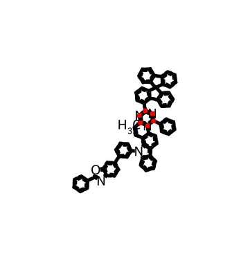 Cc1ccccc1-c1ccc2c3ccccc3n(-c3cccc(-c4ccc5nc(-c6ccccc6)oc5c4)c3)c2c1/C=C\c1nc(-c2ccccc2)nc(-c2cccc3c2-c2ccccc2C32c3ccccc3-c3ccccc32)n1